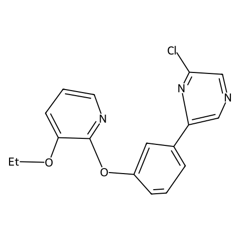 CCOc1cccnc1Oc1cccc(-c2cncc(Cl)n2)c1